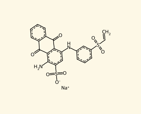 C=CS(=O)(=O)c1cccc(Nc2cc(S(=O)(=O)[O-])c(N)c3c2C(=O)c2ccccc2C3=O)c1.[Na+]